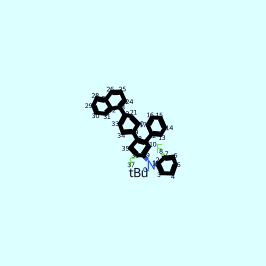 CC(C)(C)N(c1ccccc1F)c1cc(-c2ccccc2)c(-c2ccc(-c3cccc4ccccc34)cc2)cc1F